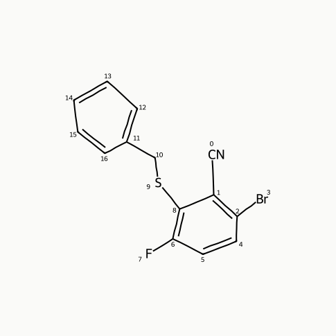 N#Cc1c(Br)ccc(F)c1SCc1ccccc1